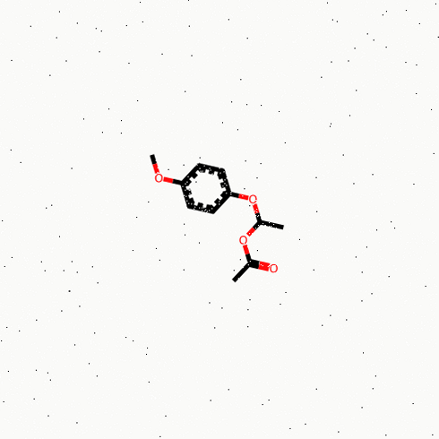 COc1ccc(OC(C)OC(C)=O)cc1